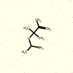 C=C(C)C(C)(C)OC(C)N